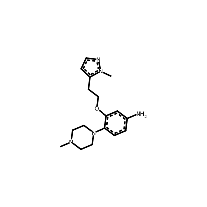 CN1CCN(c2ccc(N)cc2OCCc2ccnn2C)CC1